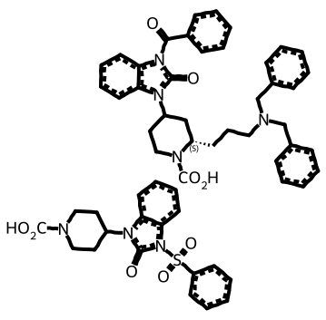 O=C(O)N1CCC(n2c(=O)n(C(=O)c3ccccc3)c3ccccc32)C[C@@H]1CCCN(Cc1ccccc1)Cc1ccccc1.O=C(O)N1CCC(n2c(=O)n(S(=O)(=O)c3ccccc3)c3ccccc32)CC1